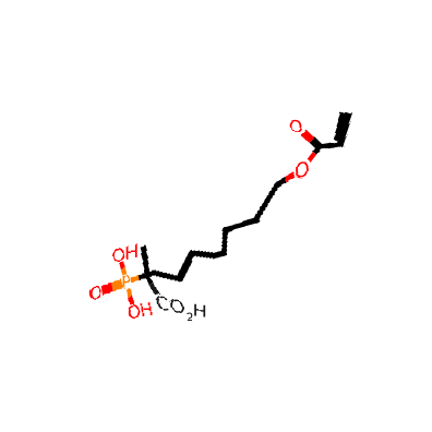 C=CC(=O)OCCCCCCC(C)(C(=O)O)P(=O)(O)O